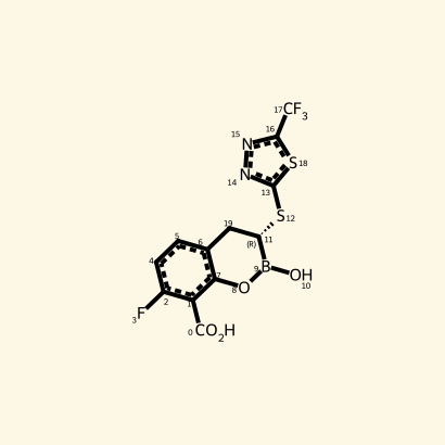 O=C(O)c1c(F)ccc2c1OB(O)[C@@H](Sc1nnc(C(F)(F)F)s1)C2